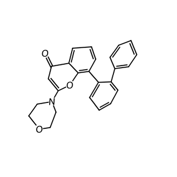 O=c1cc(N2CCOCC2)oc2c(-c3ccccc3-c3ccccc3)cccc12